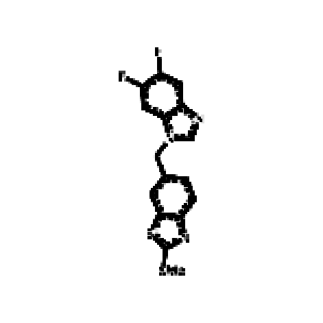 CSc1nc2ccc(Cn3cnc4cc(F)c(F)cc43)cc2s1